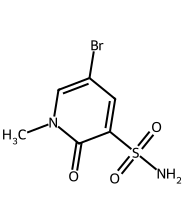 Cn1cc(Br)cc(S(N)(=O)=O)c1=O